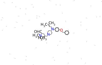 CC(C)=CCN(c1ccc(OCc2ccccc2)cc1)C1CCN(CC(C)CC(C=O)N(C)C)CC1